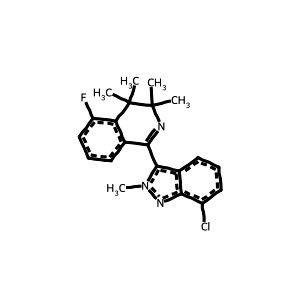 Cn1nc2c(Cl)cccc2c1C1=NC(C)(C)C(C)(C)c2c(F)cccc21